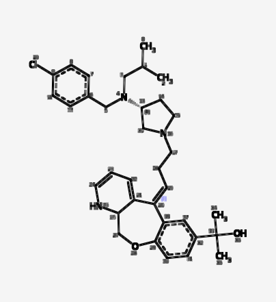 CC(C)CN(Cc1ccc(Cl)cc1)[C@@H]1CCN(CC/C=C2\C3=CC=CNC3COc3ccc(C(C)(C)O)cc32)C1